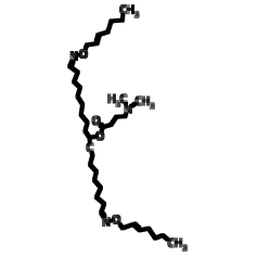 CCCC/C=C/CO/N=C\CCCCCCCCC(CCCCCCCC/C=N\OC/C=C/CCCC)OC(=O)CCCN(C)C